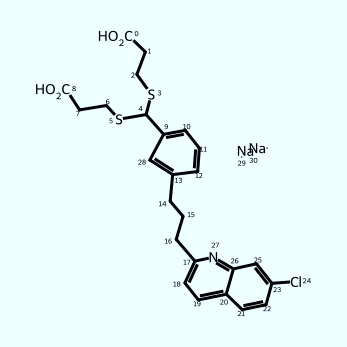 O=C(O)CCSC(SCCC(=O)O)c1cccc(CCCc2ccc3ccc(Cl)cc3n2)c1.[Na].[Na]